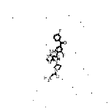 C=CC(=O)N1CCC(n2nc(-c3ccc(C(=O)c4cccc(F)c4)cc3F)c3c(N)ncnc32)C1